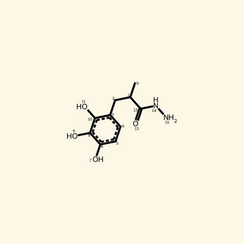 CC(Cc1ccc(O)c(O)c1O)C(=O)NN